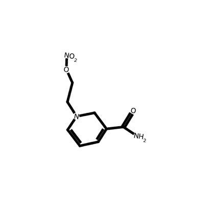 NC(=O)C1=CC=CN(CCO[N+](=O)[O-])C1